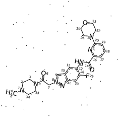 CN1CCN(C(=O)Cn2cc3cc(NC(=O)c4cccc(N5CCOCC5)n4)c(F)cc3n2)CC1